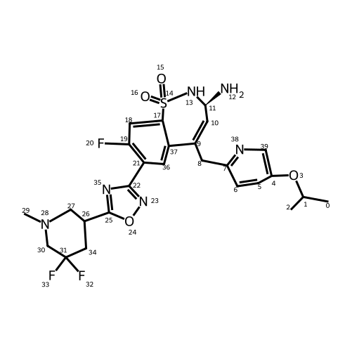 CC(C)Oc1ccc(CC2=C[C@H](N)NS(=O)(=O)c3cc(F)c(-c4noc(C5CN(C)CC(F)(F)C5)n4)cc32)nc1